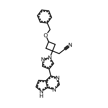 N#CCC1(n2cc(-c3ncnc4[nH]ccc34)cn2)CC(OCc2ccccc2)C1